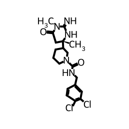 CN1C(=N)N[C@](C)(C2CCCN(C(=O)NCc3ccc(Cl)c(Cl)c3)C2)CC1=O